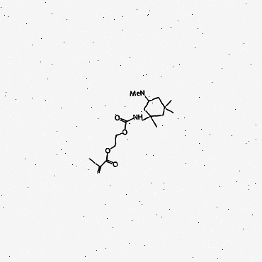 C=C(C)C(=O)OCCOC(=O)NCC1(C)CC(NC)CC(C)(C)C1